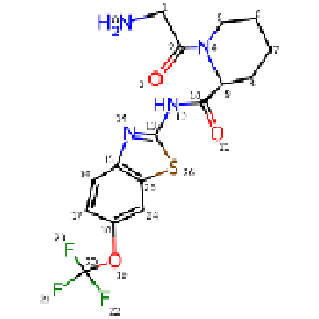 NCC(=O)N1CCCC[C@H]1C(=O)Nc1nc2ccc(OC(F)(F)F)cc2s1